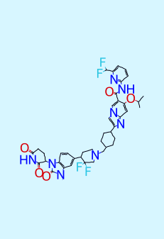 CC(C)Oc1cc2nc(C3CCC(CN4CCC(c5ccc6c(c5)n(C)c(=O)n6C5CCC(=O)NC5=O)C(F)(F)C4)CC3)cn2cc1C(=O)Nc1cccc(C(F)F)n1